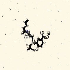 C=CCC/C(C)=N/NCN1CC(C)COc2ccc(C(=O)OC)cc21